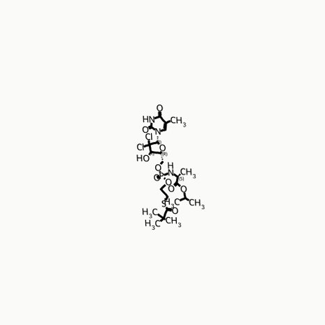 Cc1cn([C@@H]2O[C@H](COP(=O)(N[C@@H](C)C(=O)OC(C)C)OCCSC(=O)C(C)(C)C)[C@@H](O)C2(Cl)Cl)c(=O)[nH]c1=O